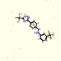 CC(F)(F)c1nc(C23CCC(CNc4cccc(C(F)(F)F)c4)(CC2)CC3)no1